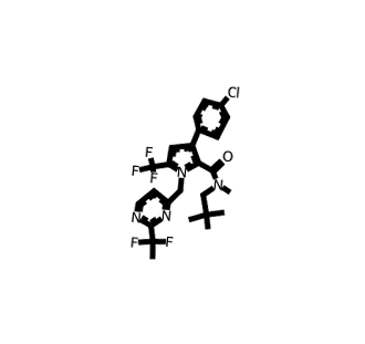 CN(CC(C)(C)C)C(=O)c1c(-c2ccc(Cl)cc2)cc(C(F)(F)F)n1Cc1ccnc(C(C)(F)F)n1